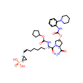 NC(=O)[C@@H]1C[C@@H](OC(=O)Nc2ccccc2N2CCCCC2)CN1C(=O)[C@H](CCCCC/C=C\[C@@H]1C[C@@H]1P(=O)(O)O)NC(=O)OC1CCCC1